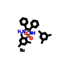 Cc1cc(C)c(S(=O)(=O)N[C@@H](c2ccccc2)[C@@H](N)c2ccccc2)c(C)c1.Cc1cc(C)cc(C)c1.[Ru]